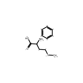 CSCCC(N)C(=O)O.c1ccccc1